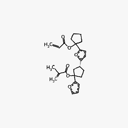 C=CC(=O)OC1(c2ccc([C@@H]3CCC(OC(=O)C(=C)C)(c4ccco4)C3)o2)CCCC1